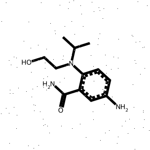 CC(C)N(CCO)c1ccc(N)cc1C(N)=O